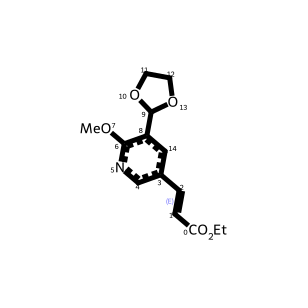 CCOC(=O)/C=C/c1cnc(OC)c(C2OCCO2)c1